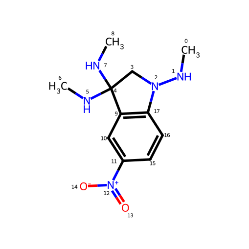 CNN1CC(NC)(NC)c2cc([N+](=O)[O-])ccc21